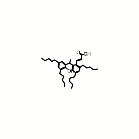 CCCCCc1cc(CCCCC)c(O)c(C(C)c2cc(CCCCC)cc(CCCCC)c2C=CC(=O)O)c1